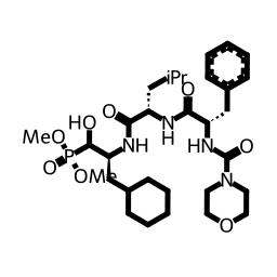 COP(=O)(OC)C(O)[C@H](CC1CCCCC1)NC(=O)[C@H](CC(C)C)NC(=O)[C@H](Cc1ccccc1)NC(=O)N1CCOCC1